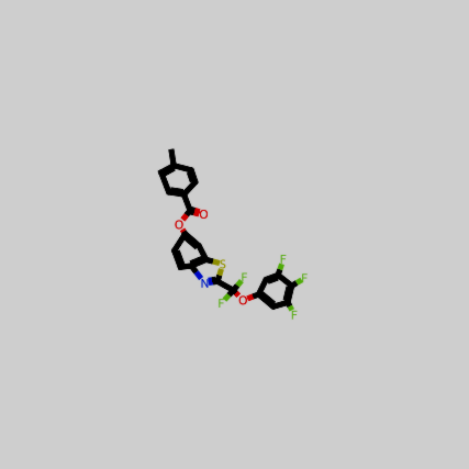 Cc1ccc(C(=O)Oc2ccc3nc(C(F)(F)Oc4cc(F)c(F)c(F)c4)sc3c2)cc1